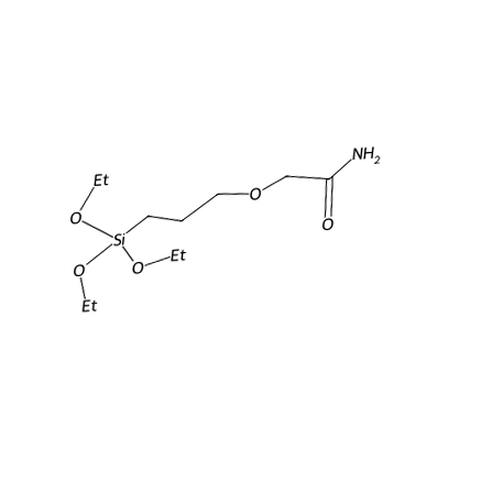 CCO[Si](CCCOCC(N)=O)(OCC)OCC